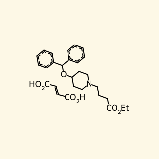 CCOC(=O)CCCN1CCC(OC(c2ccccc2)c2ccccc2)CC1.O=C(O)C=CC(=O)O